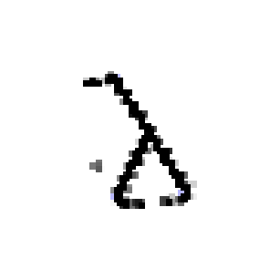 CCCCCCCC/C=C\CCCCCCCCN(CCCCCCCC/C=C\CCCCCCCC)CCCCCCCC/C=C\CCCCCCCC.F